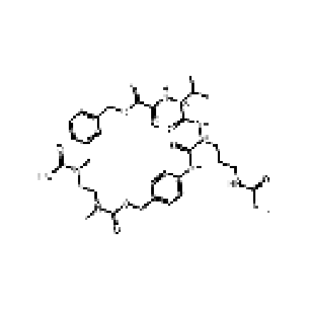 CC(C)[C@H](NC(=O)C(=O)OCc1ccccc1)C(=O)N[C@@H](CCCNC(N)=O)C(=O)Nc1ccc(COC(=O)N(C)CCN(C)C(=O)O)cc1